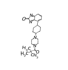 CC(C)(C)C(=O)N1CCN(C2CCC(c3cccc4c3=NC(=O)N=4)CC2)CC1